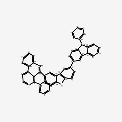 c1ccc(-c2nccc3c2c(-c2ccc4oc5ccc(-c6ccc7c(c6)c6ccccc6n7-c6ccccc6)cc5c4c2)nc2ccccc23)cc1